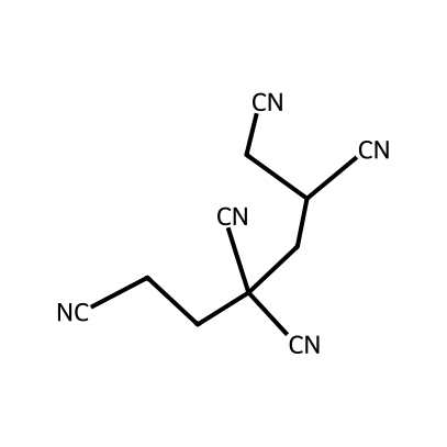 N#CCCC(C#N)(C#N)CC(C#N)CC#N